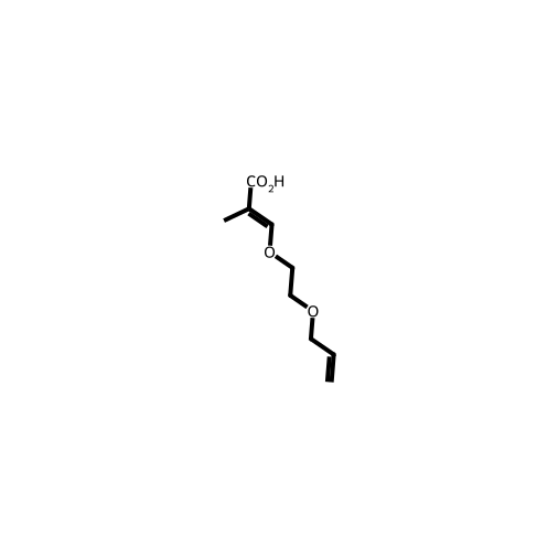 C=CCOCCOC=C(C)C(=O)O